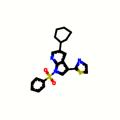 O=S(=O)(c1ccccc1)n1cc(-c2nccs2)c2cc(C3CCCCC3)cnc21